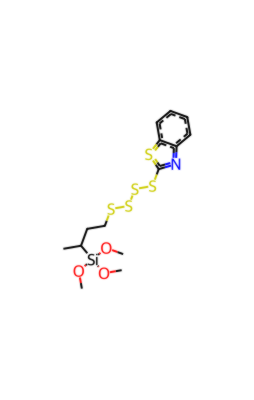 CO[Si](OC)(OC)C(C)CCSSSSc1nc2ccccc2s1